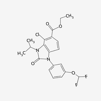 CCOC(=O)c1ccc2c(c1Cl)n(C(C)C)c(=O)n2-c1cccc(OC(F)F)c1